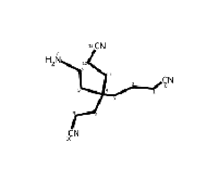 N#CCCCC(CCN)(CCC#N)CCC#N